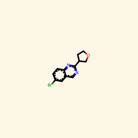 Brc1ccc2nc(C3CCOC3)ncc2c1